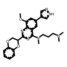 COc1cc(-c2cn[nH]c2)cc2c(N(C)CCCN(C)C)nc(C3COc4ccccc4O3)nc12